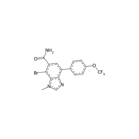 Cn1cnc2c(-c3ccc(OC(F)(F)F)cc3)cc(C(N)=O)c(Br)c21